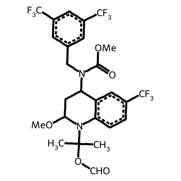 COC(=O)N(Cc1cc(C(F)(F)F)cc(C(F)(F)F)c1)C1CC(OC)N(C(C)(C)OC=O)c2ccc(C(F)(F)F)cc21